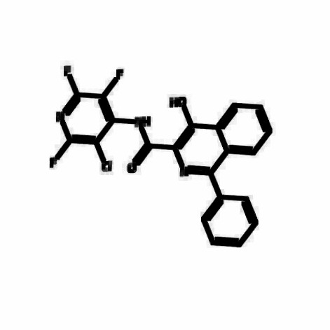 O=C(Nc1c(F)c(F)nc(F)c1Cl)c1nc(-c2ccccc2)c2ccccc2c1O